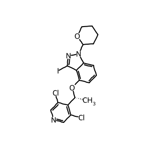 C[C@@H](Oc1cccc2c1c(I)nn2C1CCCCO1)c1c(Cl)cncc1Cl